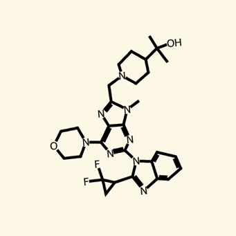 Cn1c(CN2CCC(C(C)(C)O)CC2)nc2c(N3CCOCC3)nc(-n3c(C4CC4(F)F)nc4ccccc43)nc21